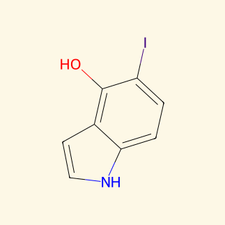 Oc1c(I)ccc2[nH]ccc12